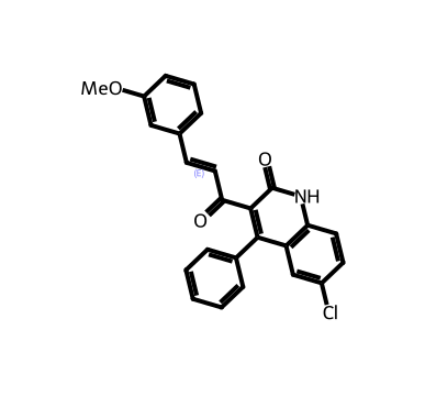 COc1cccc(/C=C/C(=O)c2c(-c3ccccc3)c3cc(Cl)ccc3[nH]c2=O)c1